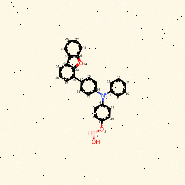 OBOc1ccc(N(c2ccccc2)c2ccc(-c3cccc4c3oc3ccccc34)cc2)cc1